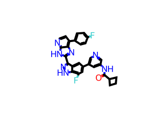 O=C(Nc1cncc(-c2cc(F)c3[nH]nc(-c4nc5c(-c6ccc(F)cc6)ccnc5[nH]4)c3c2)c1)C1CCC1